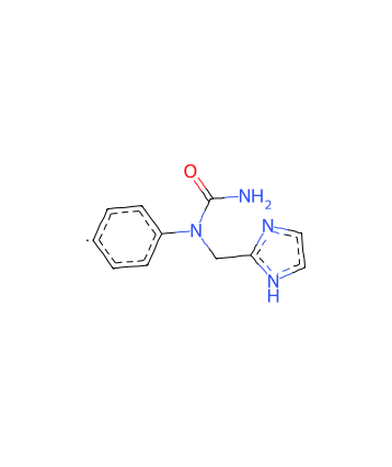 NC(=O)N(Cc1ncc[nH]1)c1cc[c]cc1